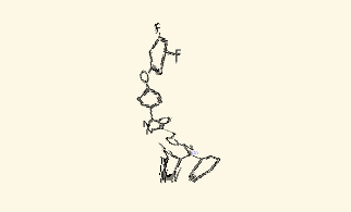 Cn1nnnc1/C(=N\OCc1nnc(-c2ccc(Oc3cc(F)cc(F)c3)cc2)o1)c1ccccc1